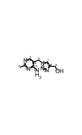 Cc1ncc(Cn2cc(CO)nn2)c(N)n1